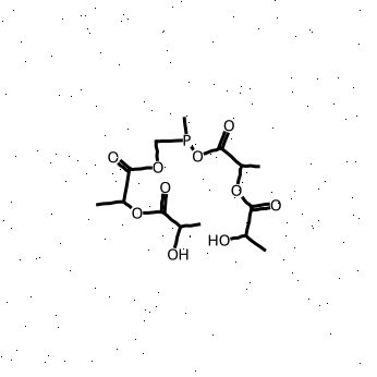 CC(O)C(=O)OC(C)C(=O)OCP(C)OC(=O)C(C)OC(=O)C(C)O